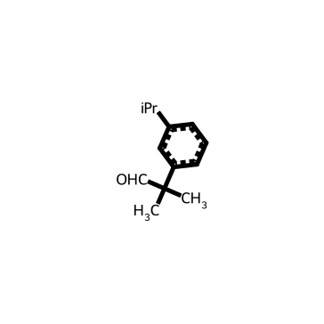 CC(C)c1cccc(C(C)(C)C=O)c1